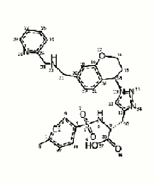 Cc1ccc(S(=O)(=O)N[C@H](Cc2cn([C@@H]3CCOc4cc(CNCc5ccccn5)ccc43)nn2)C(=O)O)cc1